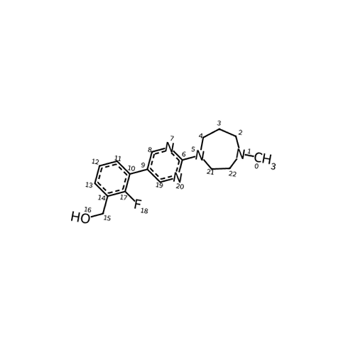 CN1CCCN(c2ncc(-c3cccc(CO)c3F)cn2)CC1